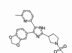 Cc1cccc(-c2[nH]c(C3CCN(S(C)(=O)=O)C3)nc2-c2ccc3c(c2)OCO3)n1